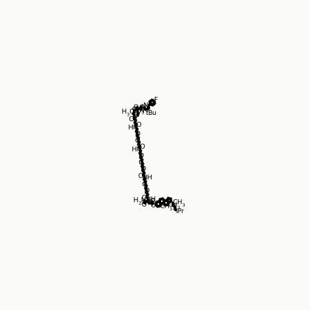 CC(C)CCCC(C)[C@H]1CCC2C3CCC4C[C@@H](OC(=O)CC(NC(=O)CCOCCOCCNC(=O)CCOCCOCCOCCNC(=O)CCOCCOCCNC(=O)CCC(=O)N5CCN(C(=O)c6cn7nc(-c8ccc(F)cc8)cc(C(C)(C)C)c7n6)C(C)(C)C5)C(N)=O)CC[C@]4(C)C3CC[C@@]21C